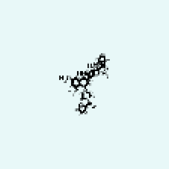 Cc1cc(C)cc(-c2[nH]c3sc(C(C)(C)CC4C5CCC4C(=O)N5)cc3c2CCN2CCN(C(=O)C3CCCO3)CC2)c1